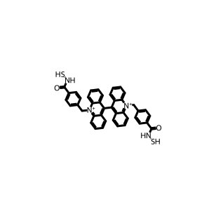 O=C(NS)c1ccc(C[n+]2c3ccccc3c(-c3c4ccccc4[n+](Cc4ccc(C(=O)NS)cc4)c4ccccc34)c3ccccc32)cc1